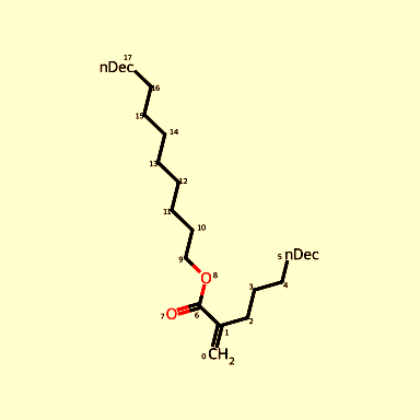 C=C(CCCCCCCCCCCCC)C(=O)OCCCCCCCCCCCCCCCCCC